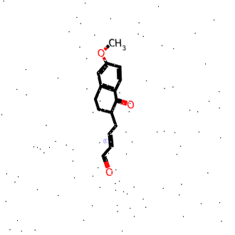 COc1ccc2c(c1)CCC(C/C=C/C=O)C2=O